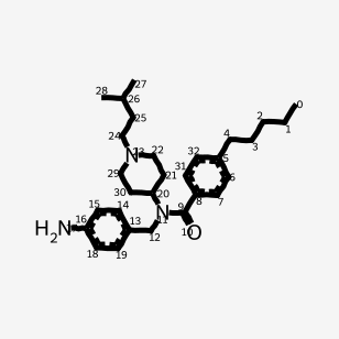 CCCCCc1ccc(C(=O)N(Cc2ccc(N)cc2)C2CCN(CCC(C)C)CC2)cc1